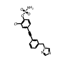 NS(=O)(=O)Oc1ccc(C#Cc2cccc(Cn3cncn3)c2)cc1Cl